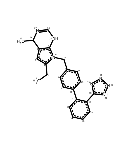 CCc1cc2c(n1Cc1ccc(-c3ccccc3-c3nnn[nH]3)cc1)NC=NC2C